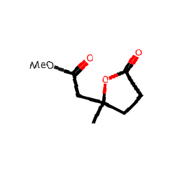 COC(=O)CC1(C)CCC(=O)O1